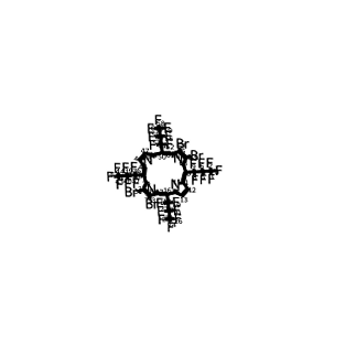 FC(F)(F)C(F)(F)C(F)(F)C1=C2C=CC(=N2)C(C(F)(F)C(F)(F)C(F)(F)F)=C2N=C(C(Br)=C2Br)C(C(F)(F)C(F)(F)C(F)(F)F)=C2C=CC(=N2)C(C(F)(F)C(F)(F)C(F)(F)F)=C2N=C1C(Br)=C2Br